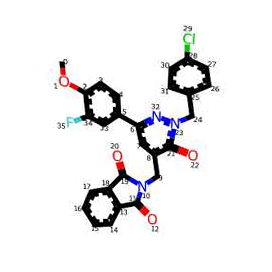 COc1ccc(-c2cc(CN3C(=O)c4ccccc4C3=O)c(=O)n(Cc3ccc(Cl)cc3)n2)cc1F